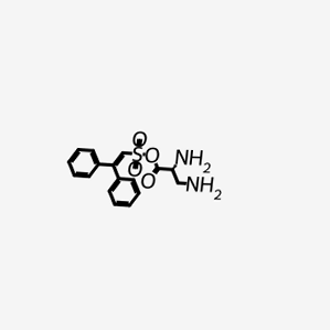 NC[C@H](N)C(=O)OS(=O)(=O)C=C(c1ccccc1)c1ccccc1